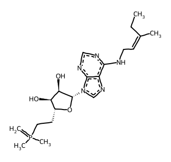 C=P(C)(C)CC[C@H]1O[C@@H](n2cnc3c(NC/C=C(/C)CC)ncnc32)[C@H](O)[C@@H]1O